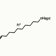 C=CCCCCCCCCCCCCCCCC.[H+]